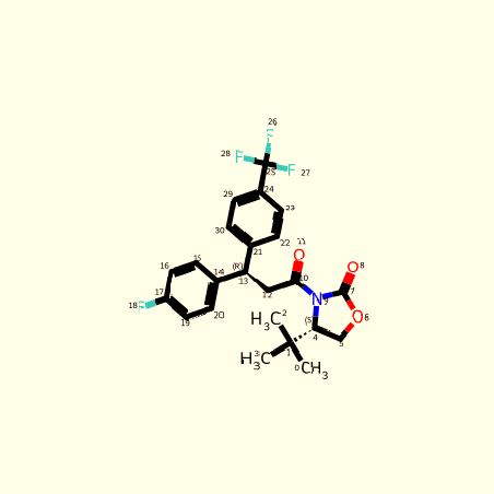 CC(C)(C)[C@H]1COC(=O)N1C(=O)C[C@@H](c1ccc(F)cc1)c1ccc(C(F)(F)F)cc1